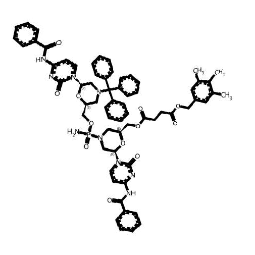 Cc1cc(COC(=O)CCC(=O)OC[C@@H]2CN(P(N)(=O)OC[C@@H]3CN(C(c4ccccc4)(c4ccccc4)c4ccccc4)C[C@H](n4ccc(NC(=O)c5ccccc5)nc4=O)O3)C[C@H](n3ccc(NC(=O)c4ccccc4)nc3=O)O2)cc(C)c1C